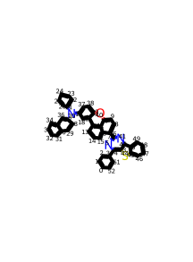 c1ccc(-c2nc(-c3ccc4c5c(cccc35)-c3cc(N(c5ccccc5)c5ccc6ccccc6c5)ccc3O4)nc3c2sc2ccccc23)cc1